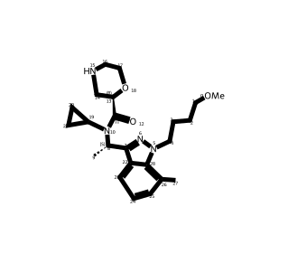 COCCCCn1nc([C@H](C)N(C(=O)[C@H]2CNCCO2)C2CC2)c2cccc(C)c21